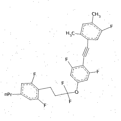 CCCc1cc(F)c(CCC(F)(F)Oc2cc(F)c(C#Cc3cc(F)c(C)cc3C)c(F)c2)c(F)c1